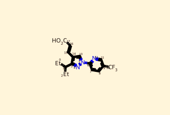 CCC(CC)c1nn(-c2ccc(C(F)(F)F)cn2)cc1C=CC(=O)O